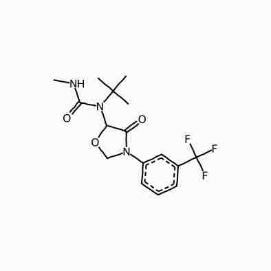 CNC(=O)N(C1OCN(c2cccc(C(F)(F)F)c2)C1=O)C(C)(C)C